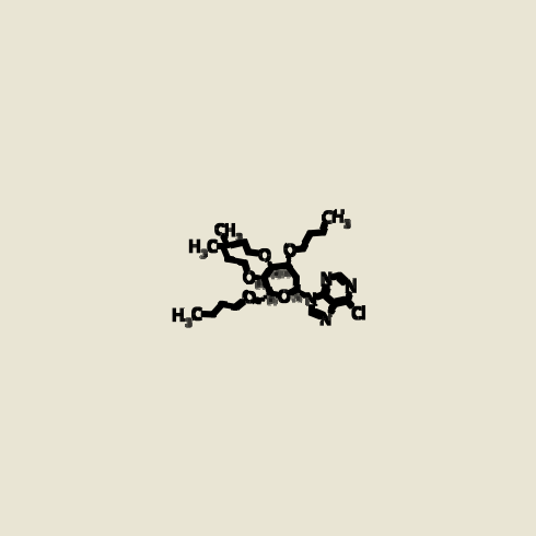 CCCCOC[C@H]1O[C@H](n2cnc3c(Cl)ncnc32)C[C@H](OCCCC)[C@@H](OCCCC)[C@@H]1OCCCC